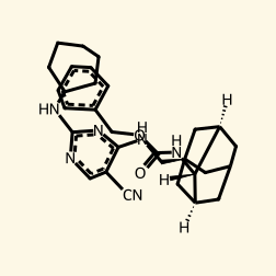 N#Cc1cnc(NC2CCCCC2)nc1NC[C@]12CC3C[C@H](C1)[C@@H](NC(=O)OCc1ccccc1)[C@@H](C3)C2